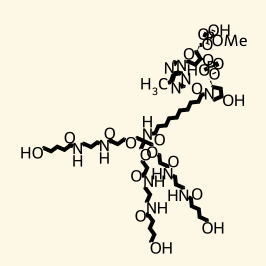 COP(=O)(O)OC[C@H]1O[C@@H](n2cnc3c(C)ncnc32)C[C@@H]1OP(=O)(O)OC[C@@H]1C[C@@H](O)CN1C(=O)CCCCCCCCC(=O)NC(COCCC(=O)NCCCNC(=O)CCCCO)(COCCC(=O)NCCCNC(=O)CCCCO)COCCC(=O)NCCCNC(=O)CCCCO